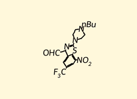 CCCCN1CCN(C2=NC(C=O)c3cc(C(F)(F)F)cc([N+](=O)[O-])c3S2)CC1